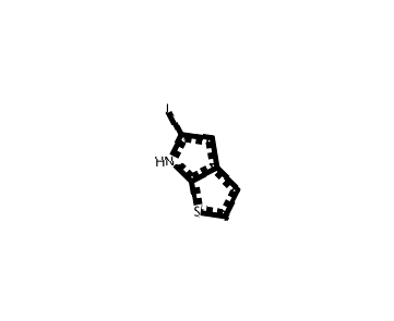 Ic1cc2ccsc2[nH]1